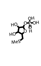 CSCC1OC(O[PH](O)(O)O)C(O)C1O